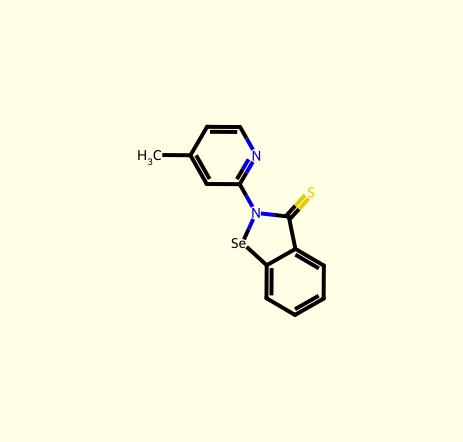 Cc1ccnc(-n2[se]c3ccccc3c2=S)c1